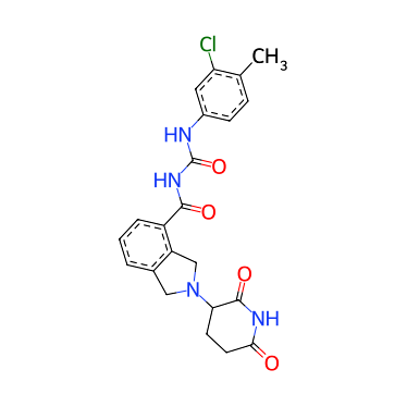 Cc1ccc(NC(=O)NC(=O)c2cccc3c2CN(C2CCC(=O)NC2=O)C3)cc1Cl